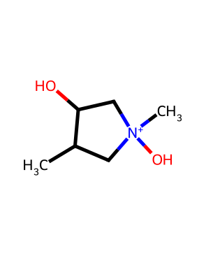 CC1C[N+](C)(O)CC1O